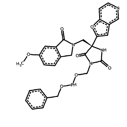 COc1ccc2c(c1)C(=O)N(C[C@@]1(c3cc4cnccc4o3)NC(=O)N(COPOCc3ccccc3)C1=O)C2